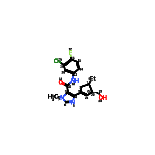 CCC1CC(c2ncn(C)c2C(=O)Nc2ccc(F)c(Cl)c2)=C[C@H]1CO